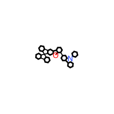 c1ccc(-n2c3ccccc3c3ccc(-c4cccc5c4oc4cc6c(cc45)-c4ccccc4C64c5ccccc5-c5ccccc54)cc32)cc1